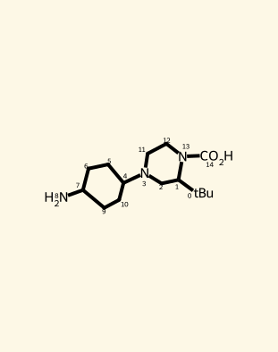 CC(C)(C)C1CN(C2CCC(N)CC2)CCN1C(=O)O